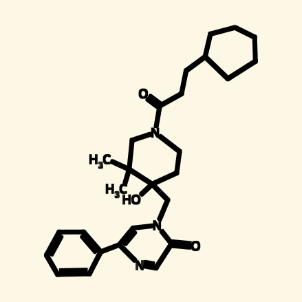 CC1(C)CN(C(=O)CCC2CCCCC2)CCC1(O)Cn1cc(-c2ccccc2)ncc1=O